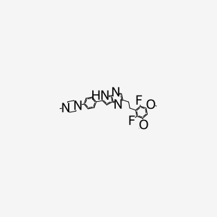 COc1cc(OC)c(F)c(CCc2cnc3[nH]c(-c4ccc(N5CCN(C)CC5)cc4)cc3n2)c1F